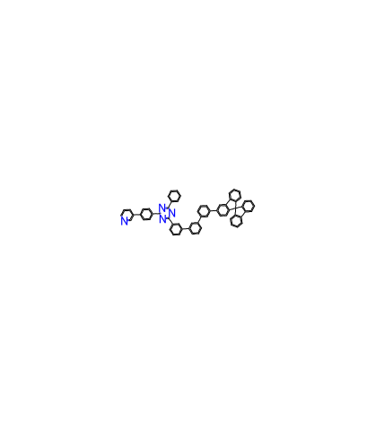 c1ccc(-c2nc(-c3ccc(-c4cccnc4)cc3)nc(-c3cccc(-c4cccc(-c5cccc(-c6ccc7c(c6)-c6ccccc6C76c7ccccc7-c7ccccc76)c5)c4)c3)n2)cc1